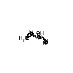 COc1ccc2nccc(CCC[C@@H]3CCN(CC#Cc4ncccn4)C[C@@H]3CO)c2c1